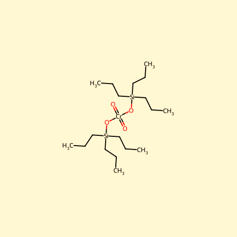 CCC[Si](CCC)(CCC)[O][Cr](=[O])(=[O])[O][Si](CCC)(CCC)CCC